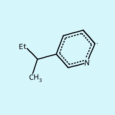 CCC(C)c1cc[c]nc1